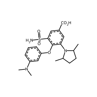 CC1CCC(C)N1c1cc(C(=O)O)cc(S(N)(=O)=O)c1Oc1cccc(N(C)C)c1